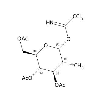 CC(=O)OC[C@H]1O[C@H](OC(=N)C(Cl)(Cl)Cl)[C@H](C)[C@@H](OC(C)=O)[C@@H]1OC(C)=O